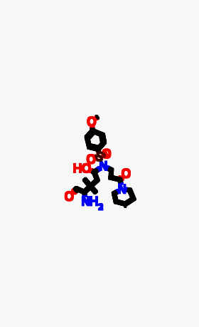 COc1ccc(S(=O)(=O)N(CCC(=O)N2CC[CH]CC2)C(O)CC(C)(C)C(N)C=O)cc1